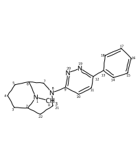 CN1C2CCCC1CN(c1ccc(-c3ccccc3)nn1)CC2